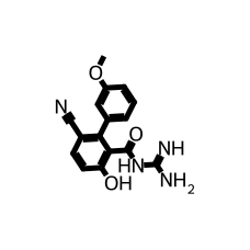 COc1cccc(-c2c(C#N)ccc(O)c2C(=O)NC(=N)N)c1